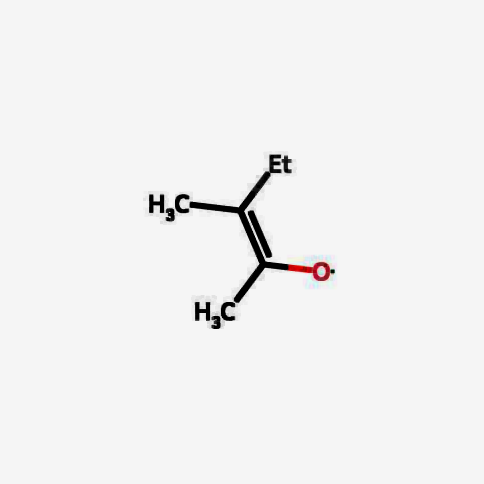 CCC(C)=C(C)[O]